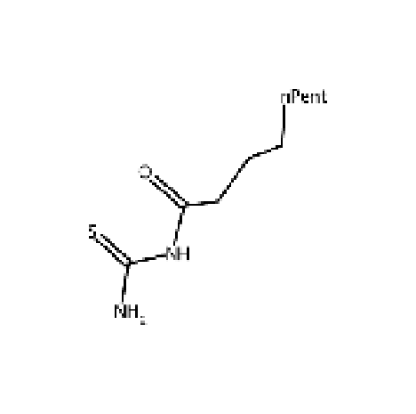 CCCCCCCCC(=O)NC(N)=S